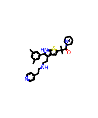 Cc1cc(C)cc(-c2[nH]c3sc(C(C)(C)C(=O)N4CC5CCC4CC5)cc3c2CCNCCc2ccncc2)c1